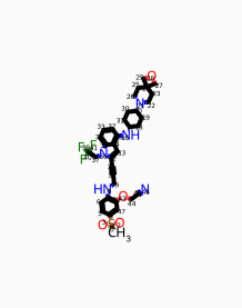 CS(=O)(=O)c1ccc(NCC#Cc2cc3c(N[C@H]4CC[C@@H](N5CCC6(CC5)COC6)CC4)cccc3n2CC(F)(F)F)c(OCC#N)c1